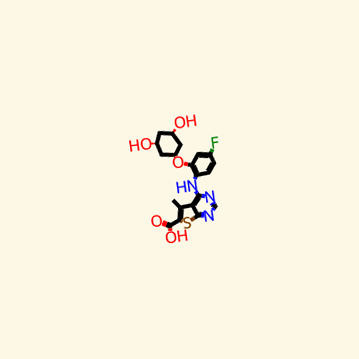 Cc1c(C(=O)O)sc2ncnc(Nc3ccc(F)cc3OC3C[C@H](O)C[C@@H](O)C3)c12